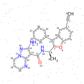 C#Cc1ccc2oc([C@@H](C)NC(=O)c3c(N)nn4cccnc34)c(-c3ccccc3)c2c1